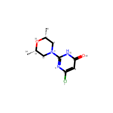 C[C@@H]1CN(c2nc(Cl)cc(=O)[nH]2)C[C@H](C)O1